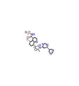 CNC(=O)c1ccnc2c([C@H](C)CNc3cc(-c4cncnc4)ncn3)ccc(F)c12